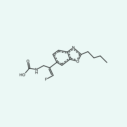 CCCCc1nc2ccc(C(=CF)CNC(=O)O)cc2o1